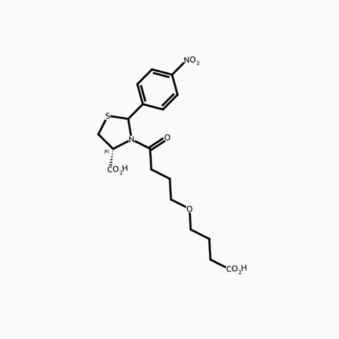 O=C(O)CCCOCCCC(=O)N1C(c2ccc([N+](=O)[O-])cc2)SC[C@H]1C(=O)O